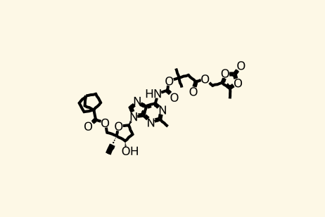 C#C[C@]1(COC(=O)C23CCC(CC2)C3)O[C@@H](n2cnc3c(NC(=O)OC(C)(C)CC(=O)OCc4oc(=O)oc4C)nc(C)nc32)C[C@@H]1O